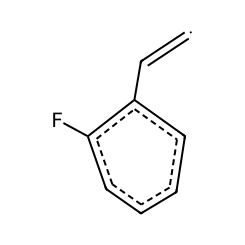 [CH]=Cc1ccccc1F